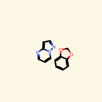 c1ccc2c(c1)OCO2.c1cnc2ccnn2c1